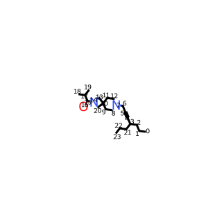 CCCC(C#CCN1CCC2(CC1)CN(C(=O)C(C)C)C2)CCC